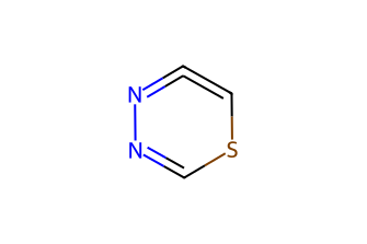 C1=CSC=NN=1